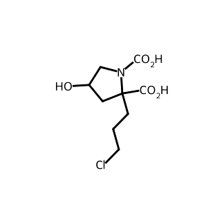 O=C(O)N1CC(O)CC1(CCCCl)C(=O)O